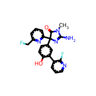 CN1C(=O)C(c2ccc(O)c(-c3cccnc3F)c2)(c2cccc(CF)n2)N=C1N